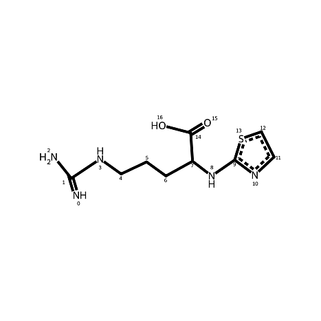 N=C(N)NCCCC(Nc1nccs1)C(=O)O